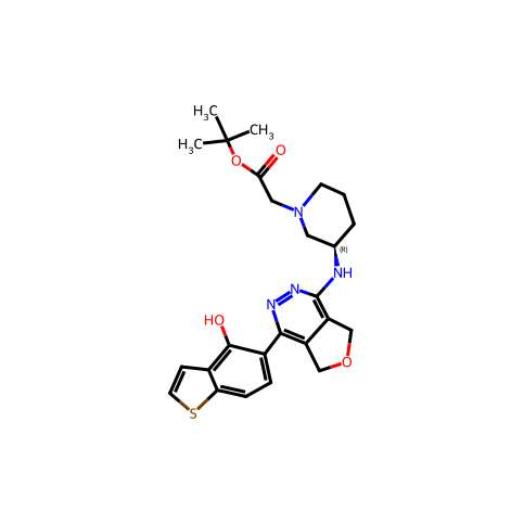 CC(C)(C)OC(=O)CN1CCC[C@@H](Nc2nnc(-c3ccc4sccc4c3O)c3c2COC3)C1